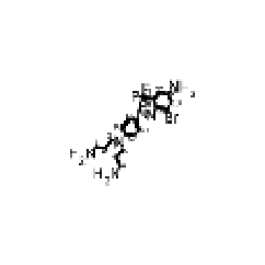 NCCCN(CCCN)c1ccc(N=Nc2c(Br)cc(N)cc2C(F)(F)F)cc1